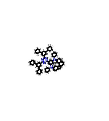 c1ccc(-c2cc(-c3ccccc3)cc(-c3nc(-c4cc(-c5ccccc5)cc(-c5ccccc5)c4)nc(-c4cc5c6c(c4)N(c4ccccc4)c4ccc7ccccc7c4B6c4c(ccc6ccccc46)N5c4ccccc4)n3)c2)cc1